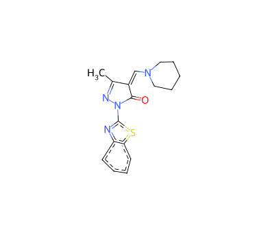 CC1=NN(c2nc3ccccc3s2)C(=O)C1=CN1CCCCC1